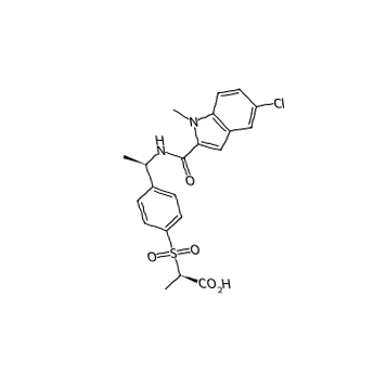 C[C@H](C(=O)O)S(=O)(=O)c1ccc([C@@H](C)NC(=O)c2cc3cc(Cl)ccc3n2C)cc1